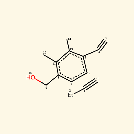 C#CCC.C#Cc1ccc(CO)c(C)c1C